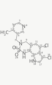 Cc1ccncc1CN1Cc2cc(Cl)c3c(Cl)c[nH]c3c2NS1(=O)=O